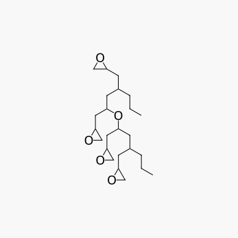 CCCC(CC1CO1)CC(CC1CO1)OC(CC(CCC)CC1CO1)CC1CO1